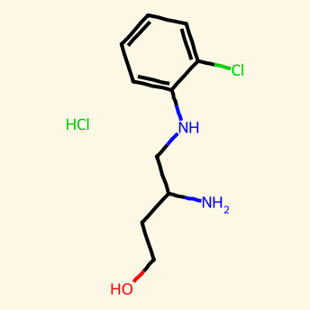 Cl.NC(CCO)CNc1ccccc1Cl